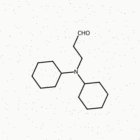 O=CCCN(C1CCCCC1)C1CCCCC1